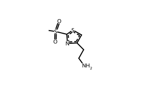 CS(=O)(=O)c1nc(CCN)cs1